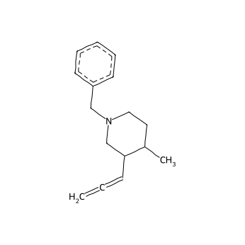 C=C=CC1CN(Cc2ccccc2)CCC1C